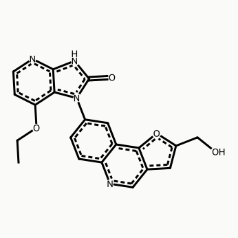 CCOc1ccnc2[nH]c(=O)n(-c3ccc4ncc5cc(CO)oc5c4c3)c12